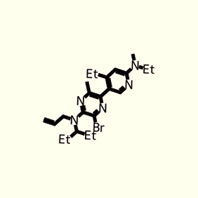 C=CCN(c1nc(C)c(-c2cnc(N(C)CC)cc2CC)nc1Br)C(CC)CC